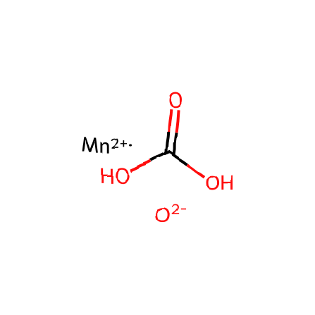 O=C(O)O.[Mn+2].[O-2]